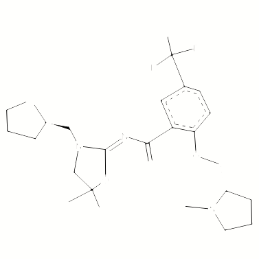 CN1CCC[C@H]1COc1ccc(C(F)(F)F)cc1C(=O)/N=C1\OC(C)(C)CN1C[C@H]1CCCO1